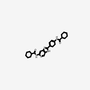 O=C(NC1=CC=C(c2nc3cc(NC(=O)C4CCCCC4)ncc3[nH]2)CC1)C1CCCCC1